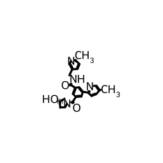 Cc1ccc(-c2cc(C(=O)NCc3ccc(C)nc3)cc(C(=O)N3CC[C@@H](O)C3)c2)nc1